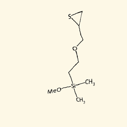 CO[Si](C)(C)CCOCC1CS1